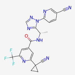 C[C@H](NC(=O)c1cc(C(F)(F)F)nc(C2(C#N)CC2)c1)c1ncnn1-c1ccc(C#N)cn1